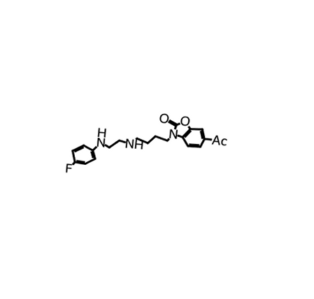 CC(=O)c1ccc2c(c1)oc(=O)n2CCCCNCCNc1ccc(F)cc1